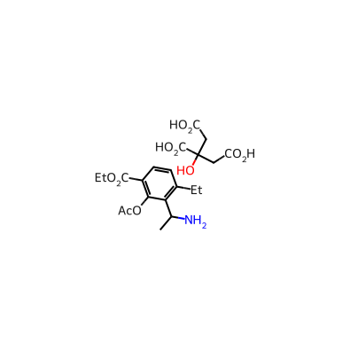 CCOC(=O)c1ccc(CC)c(C(C)N)c1OC(C)=O.O=C(O)CC(O)(CC(=O)O)C(=O)O